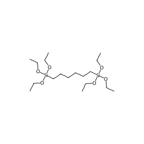 CCO[Si](CCCCCC[Si](OCC)(OCC)OCC)(OCC)OCC